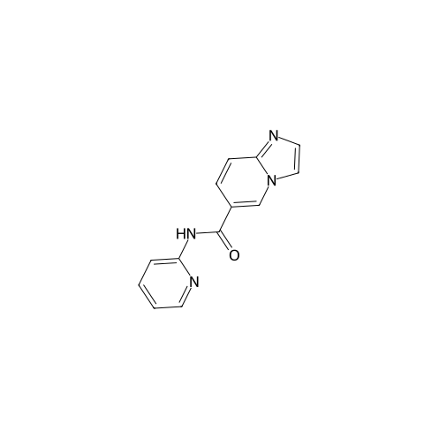 O=C(Nc1ccccn1)c1ccc2nccn2c1